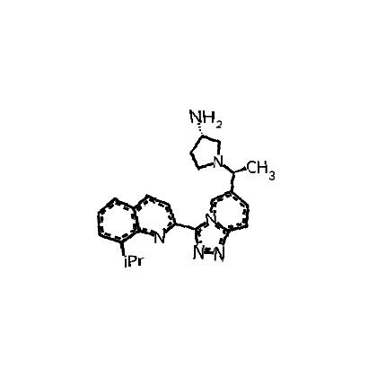 CC(C)c1cccc2ccc(-c3nnc4ccc([C@H](C)N5CC[C@H](N)C5)cn34)nc12